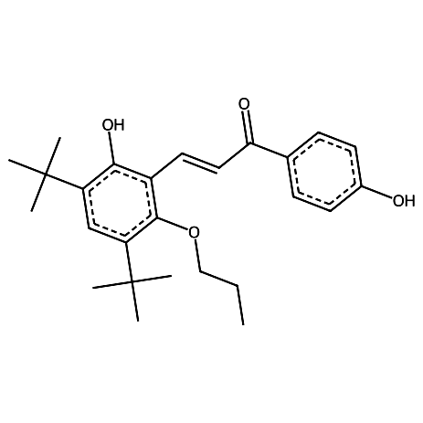 CCCOc1c(C(C)(C)C)cc(C(C)(C)C)c(O)c1C=CC(=O)c1ccc(O)cc1